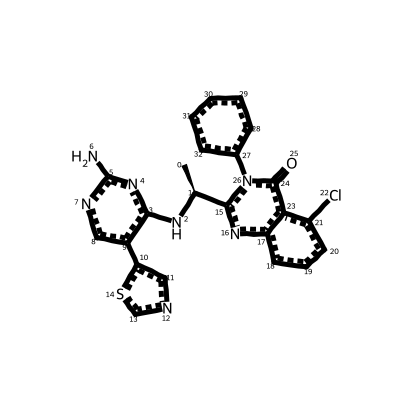 C[C@H](Nc1nc(N)ncc1-c1cncs1)c1nc2cccc(Cl)c2c(=O)n1-c1ccccc1